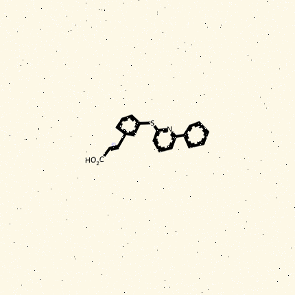 O=C(O)/C=C/c1cccc(Sc2cccc(-c3ccccc3)n2)c1